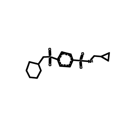 O=S(=O)(CC1CCCCC1)c1ccc(S(=O)(=O)NCC2CC2)cc1